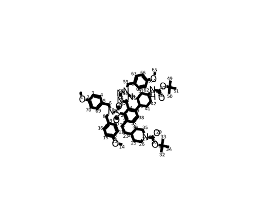 COc1ccc(CN(Cc2ccc(OC)cc2)S(=O)(=O)c2c(CCC3CCN(C(=O)OC(C)(C)C)CC3)ccc(C3CCC(NC(=O)OC(C)(C)C)CC3)c2-c2nnn(Cc3ccc(OC)cc3)n2)cc1